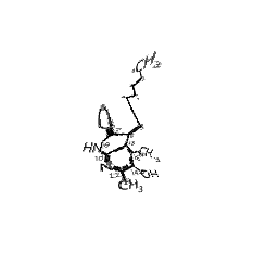 CCCCCC=C1C(=O)Nc2nc(C)c(O)c(C)c21